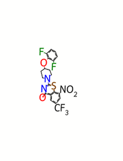 O=c1nc(N2CCC(Oc3c(F)cccc3F)CC2)sc2c([N+](=O)[O-])cc(C(F)(F)F)cc12